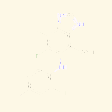 O=C(O)c1c(Nc2ccc(I)cc2Cl)c(F)c(F)c2nc[nH]c12